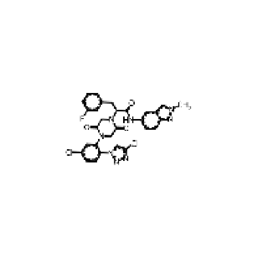 Cn1cc2cc(NC(=O)C(Cc3cccc(F)c3)N3CC(=O)N(c4cc(Cl)ccc4-n4cc(Cl)nn4)CC3=O)ccc2n1